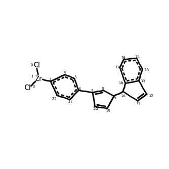 [Cl][Zr]([Cl])[c]1ccc(C2=CC(C3C=Cc4ccccc43)C=C2)cc1